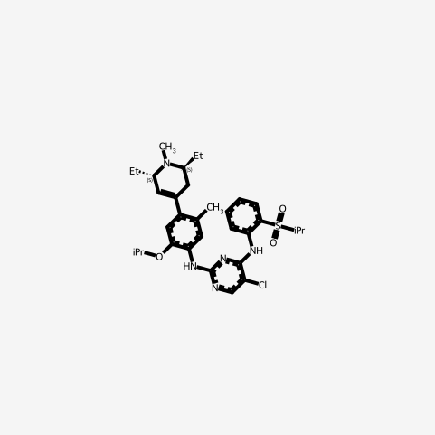 CC[C@H]1CC(c2cc(OC(C)C)c(Nc3ncc(Cl)c(Nc4ccccc4S(=O)(=O)C(C)C)n3)cc2C)=C[C@H](CC)N1C